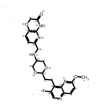 COc1ccc2ncc(F)c(CCC3OCC(NCc4ccc5c(n4)NC(=O)CO5)CO3)c2n1